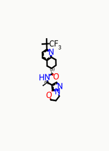 C[C@@H](NC(=O)[C@H]1CCc2nc(C(C)(C)C(F)(F)F)ccc2C1)c1cnn2c1OCCC2